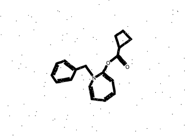 O=C(OC1=CC=CC=CN1Cc1ccccc1)C1CCC1